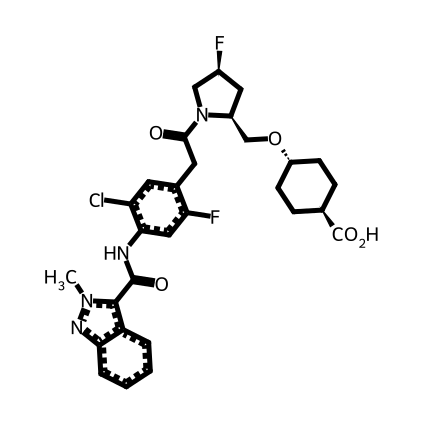 Cn1nc2ccccc2c1C(=O)Nc1cc(F)c(CC(=O)N2C[C@@H](F)C[C@H]2CO[C@H]2CC[C@H](C(=O)O)CC2)cc1Cl